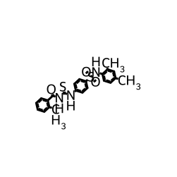 Cc1ccc(NS(=O)(=O)c2ccc(NC(=S)NC(=O)c3ccccc3C)cc2)c(C)c1